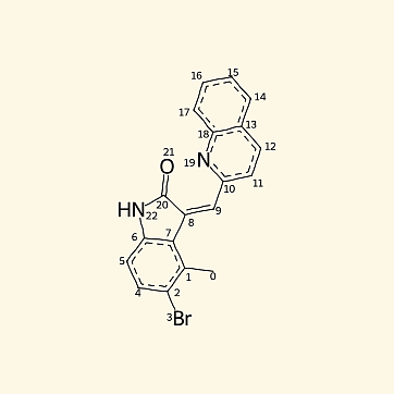 Cc1c(Br)ccc2c1C(=Cc1ccc3ccccc3n1)C(=O)N2